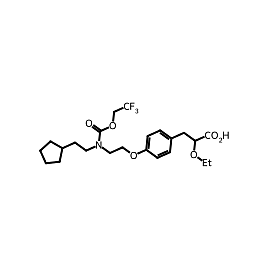 CCOC(Cc1ccc(OCCN(CCC2CCCC2)C(=O)OCC(F)(F)F)cc1)C(=O)O